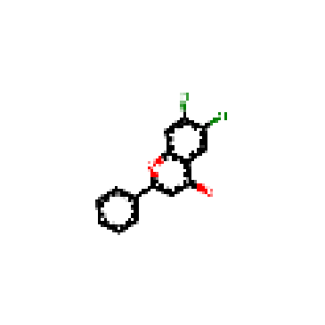 O=c1cc(-c2ccccc2)oc2cc(Cl)c(Cl)cc12